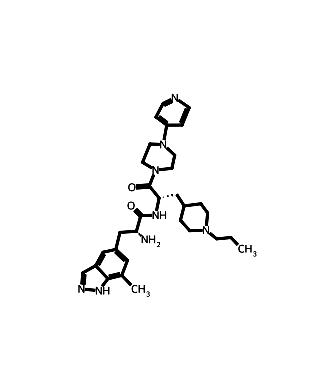 CCCN1CCC(C[C@H](NC(=O)[C@H](N)Cc2cc(C)c3[nH]ncc3c2)C(=O)N2CCN(c3ccncc3)CC2)CC1